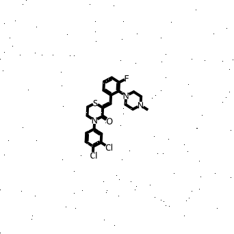 CN1CCN(c2c(F)cccc2C=C2SCCN(c3ccc(Cl)c(Cl)c3)C2=O)CC1